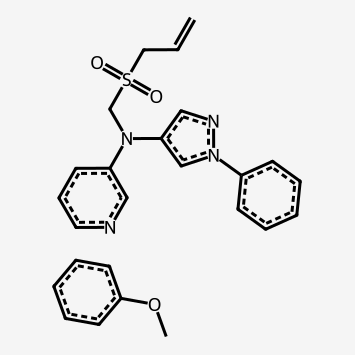 C=CCS(=O)(=O)CN(c1cccnc1)c1cnn(-c2ccccc2)c1.COc1ccccc1